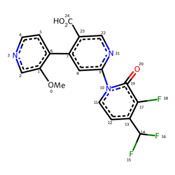 COc1cnccc1-c1cc(-n2ccc(C(F)F)c(F)c2=O)ncc1C(=O)O